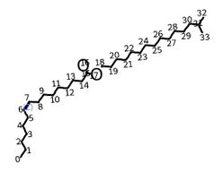 CCCCCC/C=C\CCCCCCCC(=O)OCCCCCCCCCCCCCC(C)C